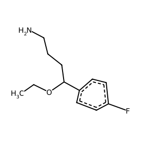 CCOC(CCCN)c1ccc(F)cc1